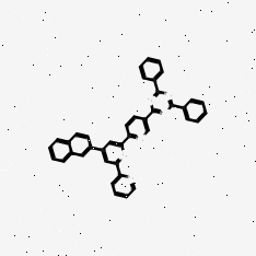 c1ccc(-c2nc(-c3ccccc3)nc(-c3ccc(-c4cc(-c5ccc6ccccc6c5)cc(-c5ccccn5)n4)nc3)n2)cc1